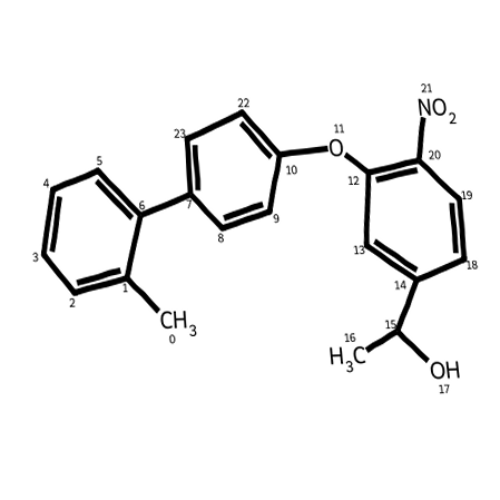 Cc1ccccc1-c1ccc(Oc2cc(C(C)O)ccc2[N+](=O)[O-])cc1